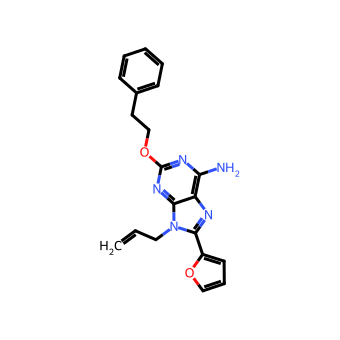 C=CCn1c(-c2ccco2)nc2c(N)nc(OCCc3ccccc3)nc21